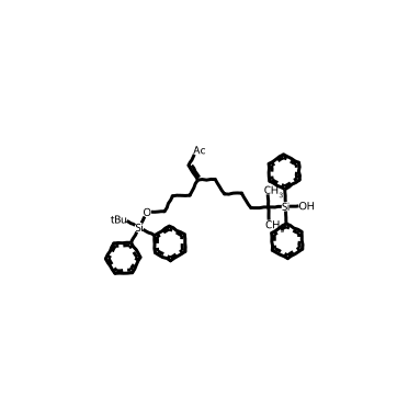 CC(=O)/C=C(\CCCCC(C)(C)[Si](O)(c1ccccc1)c1ccccc1)CCCO[Si](c1ccccc1)(c1ccccc1)C(C)(C)C